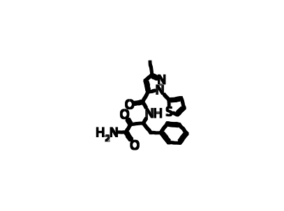 Cc1cc(C(=O)NC(Cc2ccccc2)C(=O)C(N)=O)n(-c2cccs2)n1